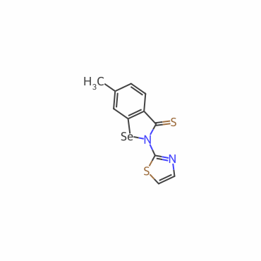 Cc1ccc2c(=S)n(-c3nccs3)[se]c2c1